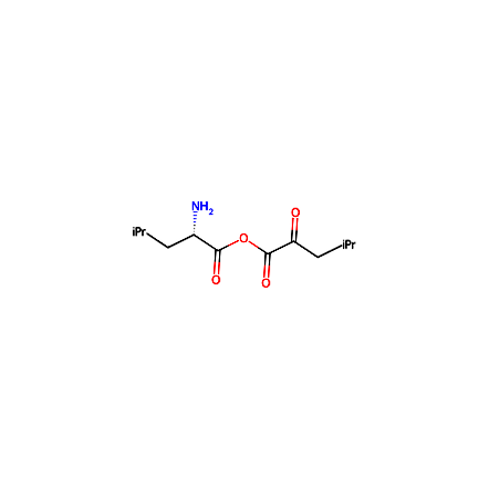 CC(C)CC(=O)C(=O)OC(=O)[C@@H](N)CC(C)C